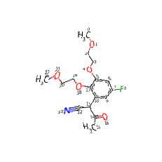 COCCOc1cc(F)cc(C(C#N)C(C)=O)c1OCCOC